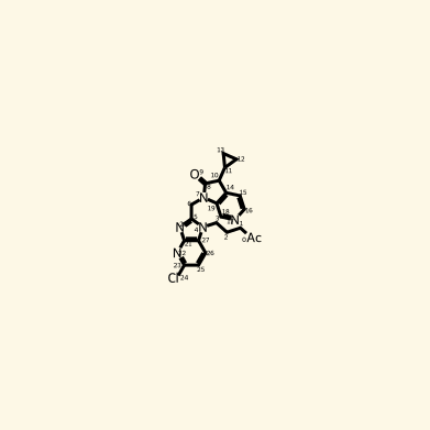 CC(=O)CCCn1c(CN2C(=O)C(C3CC3)c3ccncc32)nc2nc(Cl)ccc21